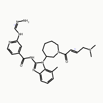 Cc1cccc2nc(NC(=O)c3ccnc(N/C=N\N)c3)n(C3CCCCN(C(=O)/C=C/CN(C)C)C3)c12